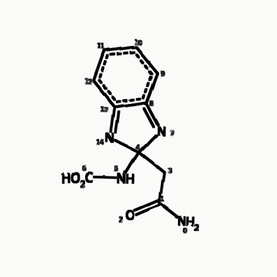 NC(=O)CC1(NC(=O)O)N=c2ccccc2=N1